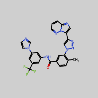 Cc1ccc(C(=O)Nc2cc(-n3ccnc3)cc(C(F)(F)F)c2)cc1-n1cc(-c2cnc3cccnn23)nn1